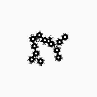 CC1(C)c2cc(-c3cccc4c3oc3c(-c5ccc(-c6ccc7c(c6)c6ccccc6n7-c6ccccc6)cc5)cccc34)ccc2-c2ccc(N(c3ccc(-c4ccccc4)cc3)c3ccc(-c4ccccc4)cc3)cc21